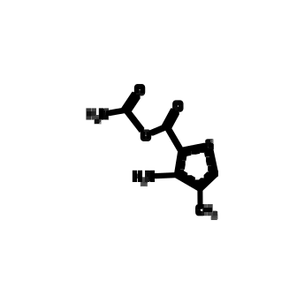 Cc1csc(C(=O)OC(N)=O)c1N